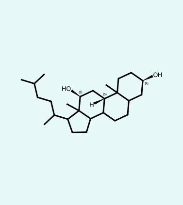 CC(C)CCC(C)C1CCC2C3CCC4C[C@H](O)CCC4(C)[C@H]3C[C@H](O)C12C